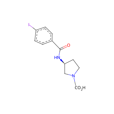 O=C(N[C@H]1CCN(C(=O)O)C1)c1ccc(I)cc1